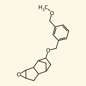 COCc1cccc(COC2CC3CC2C2C3CC3OC32)c1